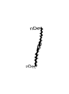 CCCCCCCCCCCCCCCCCCCCOOOCCCCCCCCCCCCCCCCCCCC